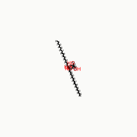 CCCCCCCCC=CCCCCCCCCOCCCCCCCCC=CCCCCCCCC.OCC(CO)(CO)CO